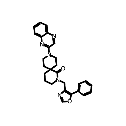 O=C1N(Cc2ncoc2-c2ccccc2)CCCC12CCN(c1cnc3ccccc3n1)CC2